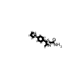 Cc1nc(C(N)=O)sc1-c1ccc(-n2cccn2)cc1